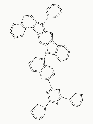 c1ccc(-c2nc(-c3ccccc3)nc(-c3ccc4c(-n5c6ccccc6c6cc7c(cc65)c5c6ccccc6ccc5n7-c5ccccc5)cccc4c3)n2)cc1